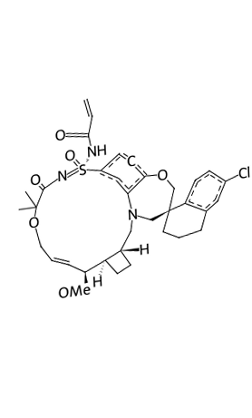 C=CC(=O)N[S@@]1(=O)=NC(=O)C(C)(C)OCC=C[C@H](OC)[C@@H]2CC[C@H]2CN2C[C@@]3(CCCc4cc(Cl)ccc43)COc3ccc1cc32